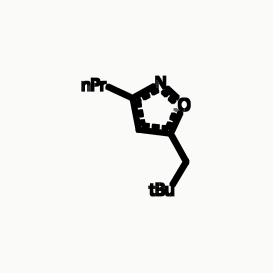 CCCc1cc(CC(C)(C)C)on1